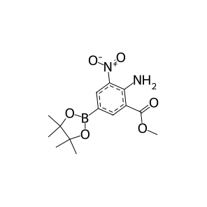 COC(=O)c1cc(B2OC(C)(C)C(C)(C)O2)cc([N+](=O)[O-])c1N